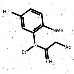 C=C(CC(C)=O)N(CC)c1cc(C)ccc1NC